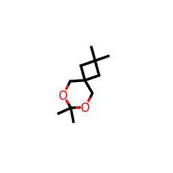 CC1(C)CC2(COC(C)(C)OC2)C1